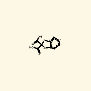 O=C(O)C1(C(=O)O)Oc2ccccc2S1